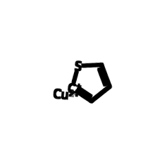 [C+]1=CC=CS1.[Cu+2]